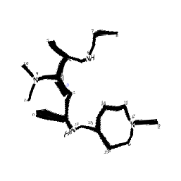 C=C(/C=C(/C(=C)NCC)N(C)C)NC1CCN(C)CC1